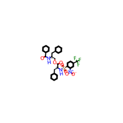 O=C(N[C@H](COC(=O)[C@H](Cc1ccccc1)NS(=O)(=O)c1ccc(C(F)(F)F)cc1[N+](=O)[O-])Cc1ccccc1)c1ccccc1